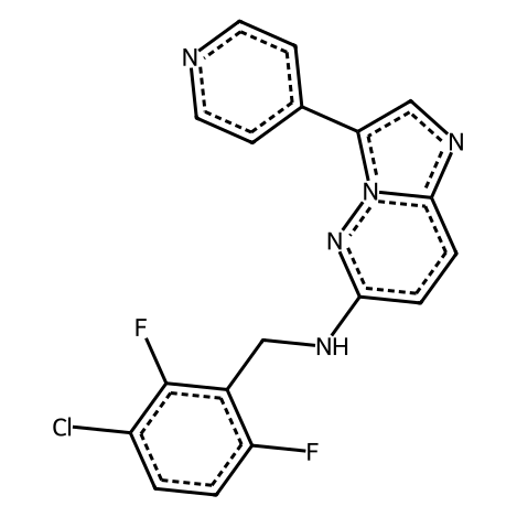 Fc1ccc(Cl)c(F)c1CNc1ccc2ncc(-c3ccncc3)n2n1